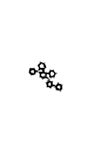 C1=Cc2c3c(n(-c4ccccc4)c2CC1)C=CC1C3C2C=CCCC2N1c1cccc(-c2ccccc2)c1